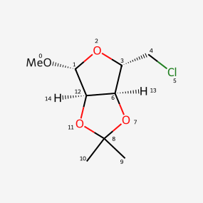 CO[C@@H]1O[C@H](CCl)[C@H]2OC(C)(C)O[C@@H]12